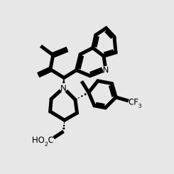 C=C(C)C(=C)[C@H](c1cnc2ccccc2c1)N1CC[C@@H](CC(=O)O)C[C@H]1C1(C)C=CC(C(F)(F)F)=CC1